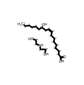 CCCCCC[C@@H](O)C/C=C\CCCCCCCC(=O)O.OCCNCCO